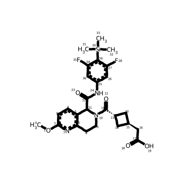 COc1ccc2c(n1)CCN(C(=O)[C@H]1C[C@H](CC(=O)O)C1)C2C(=O)Nc1cc(F)c([Si](C)(C)C)c(F)c1